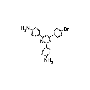 Nc1ccc(-c2cc(-c3ccc(Br)cc3)cc(-c3ccc(N)cc3)n2)cc1